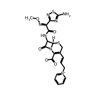 CON=C(C(=O)NC1C(=O)N2C(C(=O)[O-])=C(C=CC[n+]3ccccc3)CS[C@@H]12)c1nsc(N)n1